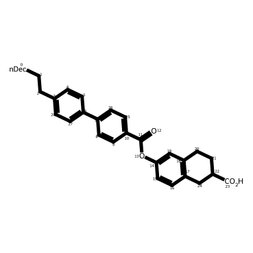 CCCCCCCCCCCCc1ccc(-c2ccc(C(=O)Oc3ccc4c(c3)CCC(C(=O)O)C4)cc2)cc1